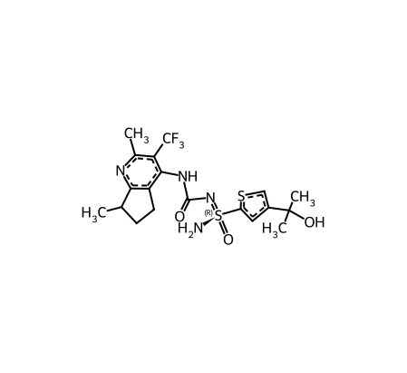 Cc1nc2c(c(NC(=O)N=[S@@](N)(=O)c3cc(C(C)(C)O)cs3)c1C(F)(F)F)CCC2C